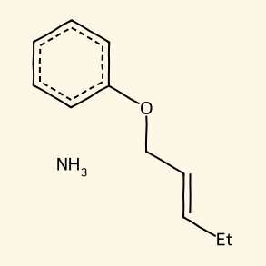 CCC=CCOc1ccccc1.N